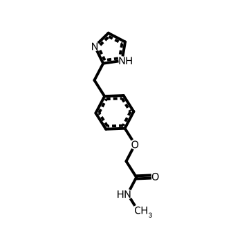 CNC(=O)COc1ccc(Cc2ncc[nH]2)cc1